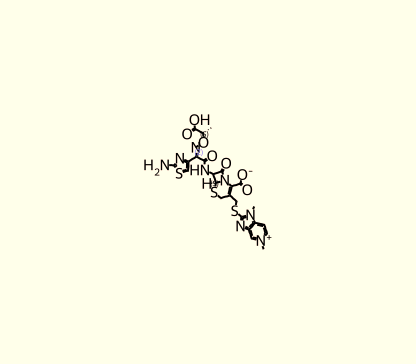 C[C@H](O/N=C(\C(=O)NC1C(=O)N2C(C(=O)[O-])=C(CSc3nc4c[n+](C)ccc4n3C)CS[C@@H]12)c1csc(N)n1)C(=O)O